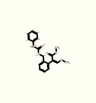 COC=C(C(=O)OC)c1ccccc1COC(=O)Nc1ccccc1